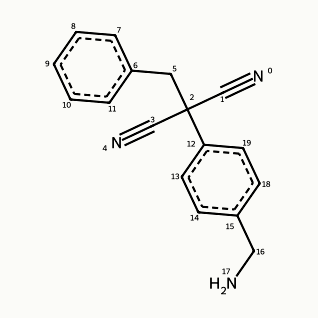 N#CC(C#N)(Cc1ccccc1)c1ccc(CN)cc1